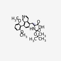 COc1cccc(OC)c1-c1ccc(/C=C(\NC(=O)OC(C)(C)C)C(=O)O)c2ccncc12